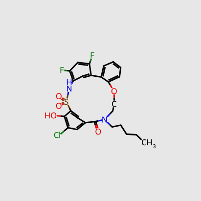 CCCCCN1CCOc2ccccc2-c2cc(c(F)cc2F)NS(=O)(=O)c2cc(cc(Cl)c2O)C1=O